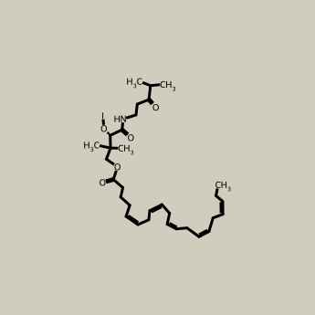 CC/C=C\C/C=C\C/C=C\C/C=C\C/C=C\CCCC(=O)OCC(C)(C)[C@@H](OI)C(=O)NCCC(=O)C(C)C